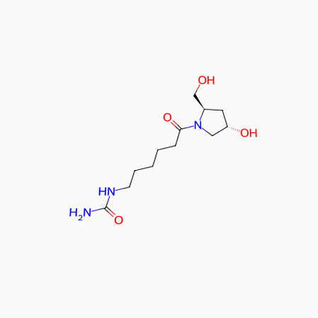 NC(=O)NCCCCCC(=O)N1C[C@@H](O)C[C@@H]1CO